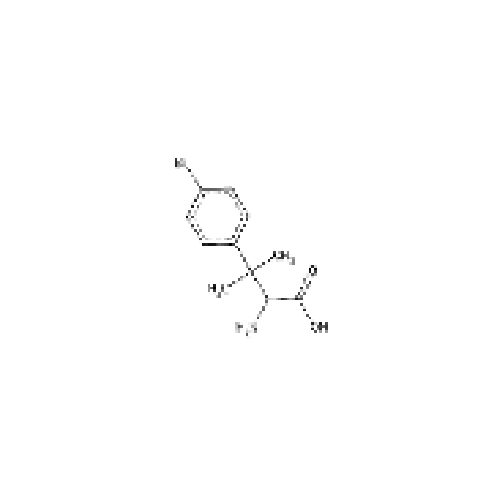 CC(C)(c1ccc(Br)cc1)C(N)C(=O)O